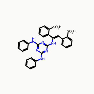 O=S(=O)(O)c1ccccc1C=C(Nc1nc(Nc2ccccc2)nc(Nc2ccccc2)n1)c1ccccc1S(=O)(=O)O